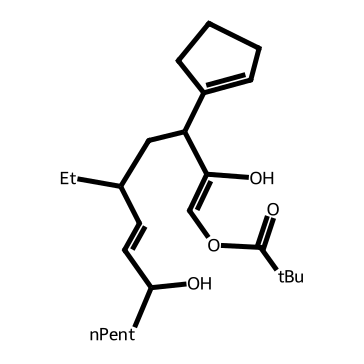 CCCCCC(O)/C=C/C(CC)CC(C(O)=COC(=O)C(C)(C)C)C1=CCCC1